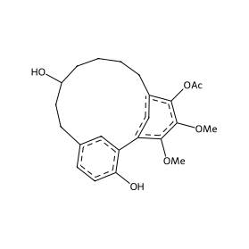 COc1c2cc(c(OC(C)=O)c1OC)CCCCC(O)CCc1ccc(O)c-2c1